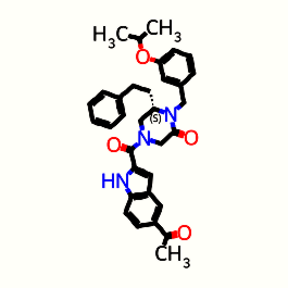 CC(=O)c1ccc2[nH]c(C(=O)N3CC(=O)N(Cc4cccc(OC(C)C)c4)[C@@H](CCc4ccccc4)C3)cc2c1